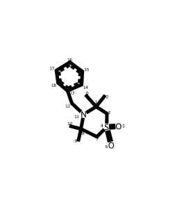 CC1(C)CS(=O)(=O)CC(C)(C)N1Cc1ccccc1